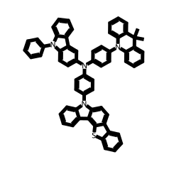 CC1(C)c2ccccc2N(c2ccc(N(c3ccc(-n4c5ccccc5c5c6sc7ccccc7c6ccc54)cc3)c3ccc4c(c3)c3ccccc3n4-c3ccccc3)cc2)c2ccccc21